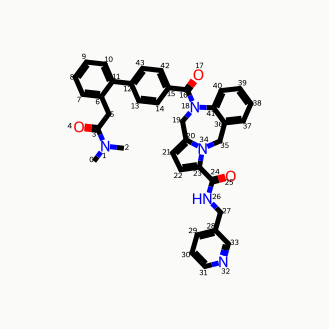 CN(C)C(=O)Cc1ccccc1-c1ccc(C(=O)N2Cc3ccc(C(=O)NCc4cccnc4)n3Cc3ccccc32)cc1